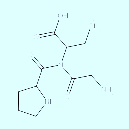 NCC(=O)N(C(=O)C1CCCN1)C(CO)C(=O)O